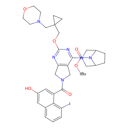 CC(C)(C)OC(=O)N1C2CCC1CN(c1nc(OCC3(CN4CCOCC4)CC3)nc3c1CN(C(=O)c1cc(O)cc4cccc(I)c14)C3)C2